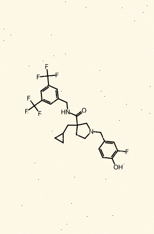 O=C(NCc1cc(C(F)(F)F)cc(C(F)(F)F)c1)C1(CC2CC2)CCN(Cc2ccc(O)c(F)c2)C1